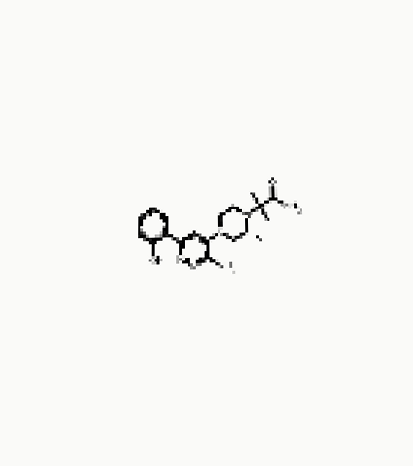 C[C@@H]1CN(c2cc(-c3ccccc3O)nnc2N)CCN1C(C)(C)C(N)=O